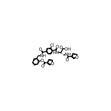 O=C(NCc1ccccc1OC(=O)c1ccoc1)c1ccc(C(=O)N[C@@H](CNC(=O)c2ccoc2)C(=O)O)c(Cl)c1